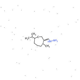 CC1CCCC(C(C)C)CC/C1=C/NN